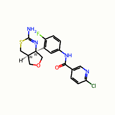 NC1=N[C@@]2(c3cc(NC(=O)c4ccc(Cl)nc4)ccc3F)COC[C@H]2CS1